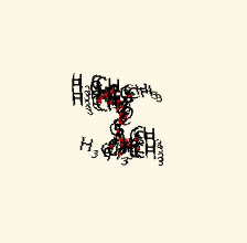 CC(C)(C)c1cccc(N(c2ccc3c(c2)oc2ccc4c(ccc5oc6cc(N(c7cccc(C(C)(C)C)c7)c7ccc8c(c7)c7ccccc7n8-c7cc(C(C)(C)C)cc(C(C)(C)C)c7)ccc6c54)c23)c2ccc3c(c2)c2ccccc2n3-c2cc(C(C)(C)C)cc(C(C)(C)C)c2)c1